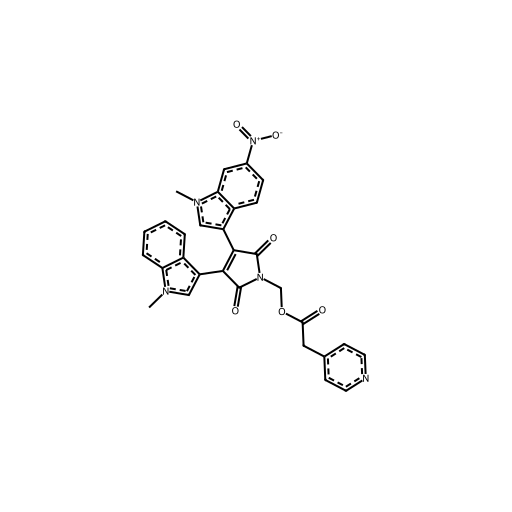 Cn1cc(C2=C(c3cn(C)c4cc([N+](=O)[O-])ccc34)C(=O)N(COC(=O)Cc3ccncc3)C2=O)c2ccccc21